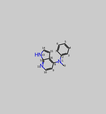 CN(c1ccccc1)c1ccnc2[nH]ccc12